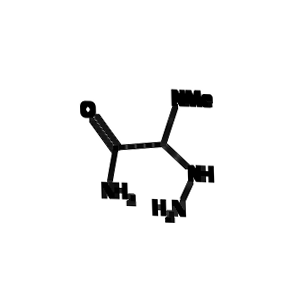 CNC(NN)C(N)=O